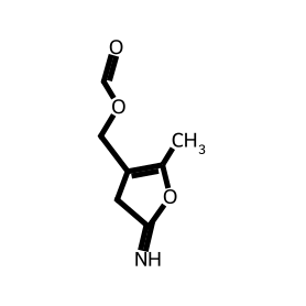 CC1=C(COC=O)CC(=N)O1